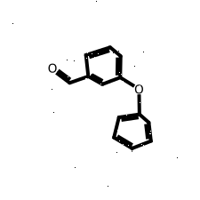 O=Cc1cccc(Oc2cc[c]cc2)c1